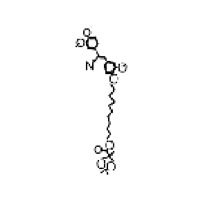 COc1ccc(/C(C#N)=C/c2ccc(OCCCCCCCCCCCOC(=O)C3(C)COC(C)(C)OC3)c(OC)c2)cc1OC